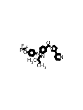 CCC(C)c1nc2cc(C(=O)N3CCC(c4cccnc4)C3)ccc2n1-c1ccc(OC(F)(F)F)cc1